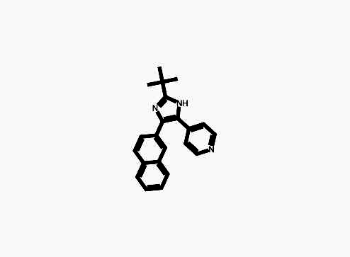 CC(C)(C)c1nc(-c2ccc3ccccc3c2)c(-c2ccncc2)[nH]1